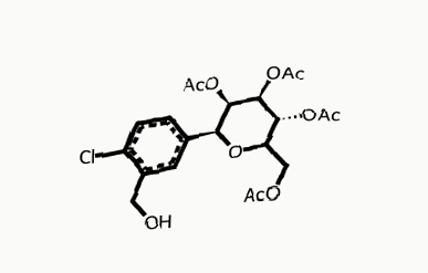 CC(=O)OCC1O[C@@H](c2ccc(Cl)c(CO)c2)[C@@H](OC(C)=O)[C@@H](OC(C)=O)[C@@H]1OC(C)=O